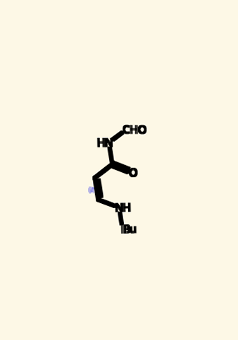 CCC(C)N/C=C\C(=O)NC=O